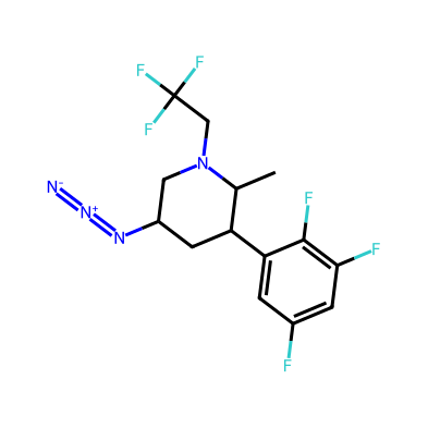 CC1C(c2cc(F)cc(F)c2F)CC(N=[N+]=[N-])CN1CC(F)(F)F